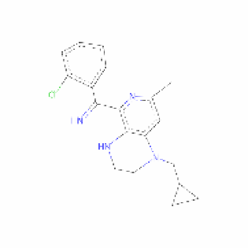 Cc1cc2c(c(C(=N)c3ccccc3Cl)n1)NCCN2CC1CC1